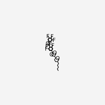 CCCCCC1CCC(C2COC(c3cc(F)c(C(F)(F)Oc4cc(F)c(F)c(F)c4)c(F)c3)OC2)OC1